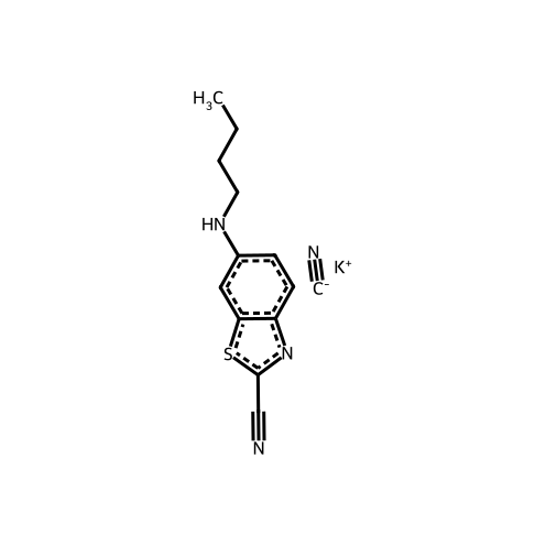 CCCCNc1ccc2nc(C#N)sc2c1.[C-]#N.[K+]